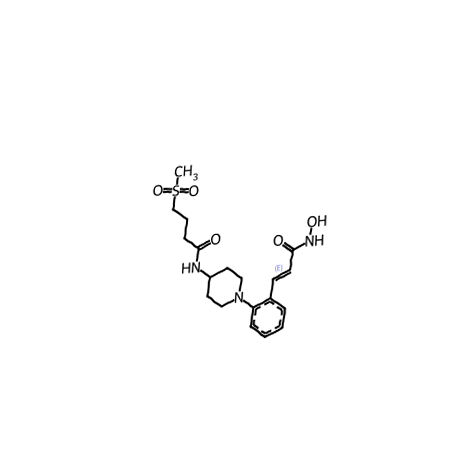 CS(=O)(=O)CCCC(=O)NC1CCN(c2ccccc2/C=C/C(=O)NO)CC1